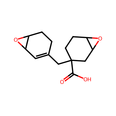 O=C(O)C1(CC2=CC3OC3CC2)CCC2OC2C1